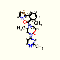 Cc1nccc(N2C[C@H](C)N(C(=O)c3ccccc3-c3nccs3)[C@H](C)CO2)n1